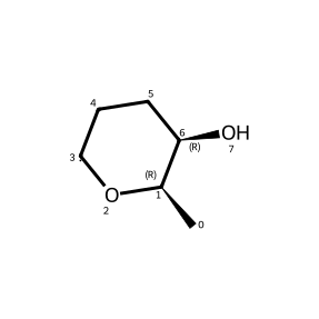 C[C@H]1O[CH]CC[C@H]1O